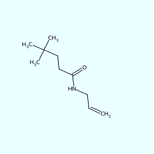 C=CCNC(=O)CCC(C)(C)C